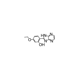 CCOc1ccc(-c2nc3nccnc3[nH]2)c(O)c1